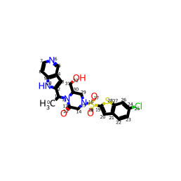 CC(c1cc2cnccc2[nH]1)N1C(=O)CN(S(=O)(=O)c2cc3ccc(Cl)cc3s2)CC1CO